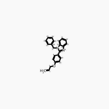 C=CCOc1ccc(-c2nc3ccccc3n2Cc2ccccc2)cc1